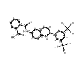 O=C(O)c1ccccc1C(=O)Nc1ccc2nc(-c3cc(C(F)(F)F)cc(C(F)(F)F)c3)ccc2c1